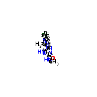 CNC(=O)c1c[nH]c(-c2n[nH]cc2CN2CCN(c3ccc(C(F)(F)F)cn3)[C@H](C)C2)c1